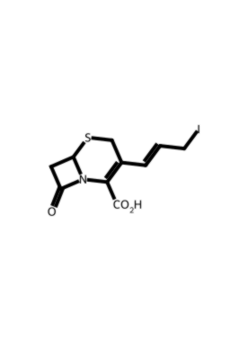 O=C(O)C1=C(C=CCI)CSC2CC(=O)N12